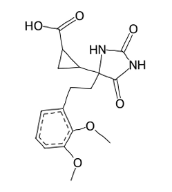 COc1cccc(CCC2(C3CC3C(=O)O)NC(=O)NC2=O)c1OC